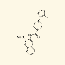 COc1nc2ccccc2cc1NC(=O)N1CCN(c2ccsc2C)CC1